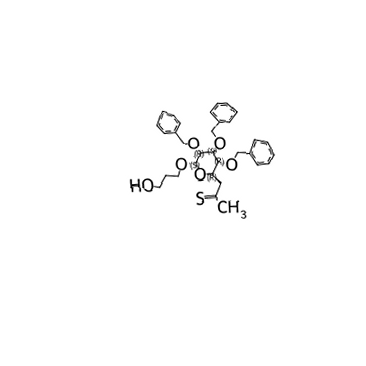 CC(=S)C[C@H]1O[C@H](OCCCO)[C@H](OCc2ccccc2)[C@@H](OCc2ccccc2)[C@@H]1OCc1ccccc1